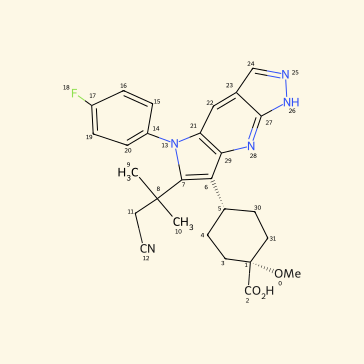 CO[C@]1(C(=O)O)CC[C@H](c2c(C(C)(C)CC#N)n(-c3ccc(F)cc3)c3cc4cn[nH]c4nc32)CC1